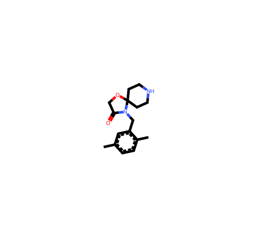 Cc1ccc(C)c(CN2C(=O)COC23CCNCC3)c1